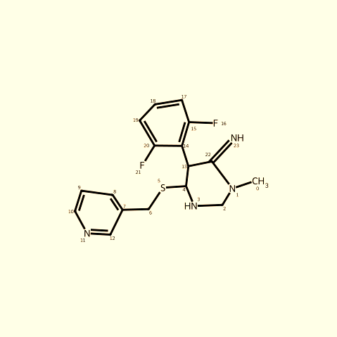 CN1CNC(SCc2cccnc2)C(c2c(F)cccc2F)C1=N